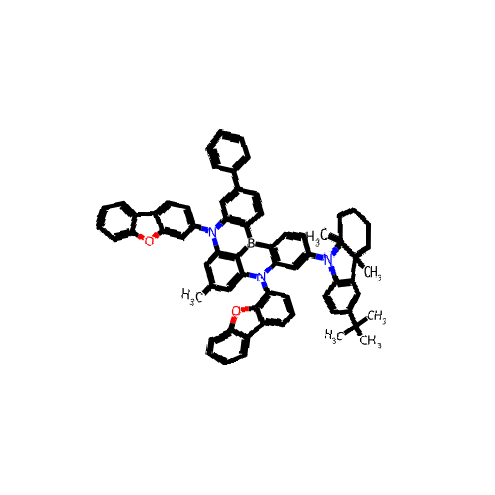 Cc1cc2c3c(c1)N(c1cccc4c1oc1ccccc14)c1cc(N4c5ccc(C(C)(C)C)cc5C5(C)CCCCC45C)ccc1B3c1ccc(-c3ccccc3)cc1N2c1ccc2c(c1)oc1ccccc12